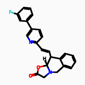 O=C1CN2Cc3ccccc3C(/C=C/c3ccc(-c4cccc(F)c4)cn3)[C@H]2O1